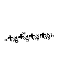 CC(CO)(CO)COP(=O)(O)OCC(C)(CO)COP(=O)(O)OCC(C)(CO)COP(=O)(O)OCC(C)(CO)COP(=O)(O)O